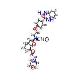 Nc1ccccc1NC(=O)c1ccc(OCCN(C=O)c2cc3cccc(OCCN4CCOCC4)c3o2)cc1